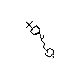 CC(C)(C)c1ccc(OCCCN2CCSCC2)cc1